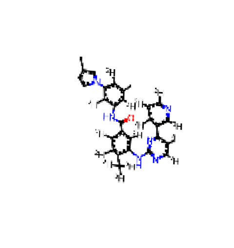 [2H]c1nc(Nc2c([2H])c(C(=O)Nc3c([2H])c(C)c([2H])c(-n4ccc(C)c4)c3[2H])c([2H])c([2H])c2C([2H])([2H])[2H])nc(-c2c([2H])nc([2H])c([2H])c2[2H])c1[2H]